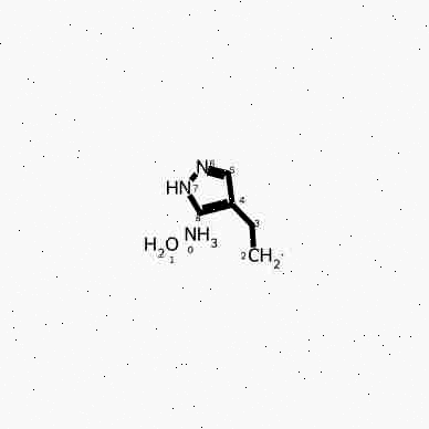 N.O.[CH2]Cc1cn[nH]c1